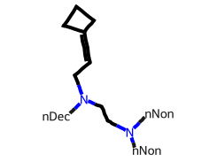 CCCCCCCCCCN(CC=C1CCC1)CCN(CCCCCCCCC)CCCCCCCCC